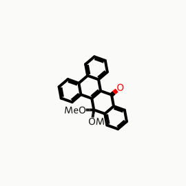 COC1(OC)c2ccccc2C(=O)c2c1c1ccccc1c1ccccc21